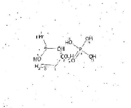 C=CC(=O)O.CCCC(O)O.O=P(O)(O)O